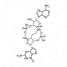 Nc1nc2c(ncn2[C@@H]2O[C@@H]3COP(=O)(S)OC4C(O)[C@H](n5cnc6c(N)ncnc65)O[C@@H]4COP(=O)(S)OC2C3CCS)c(=O)[nH]1